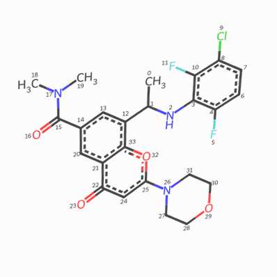 CC(Nc1c(F)ccc(Cl)c1F)c1cc(C(=O)N(C)C)cc2c(=O)cc(N3CCOCC3)oc12